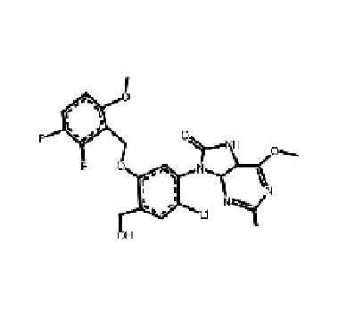 COC1=NC(C)=NC2C1NC(=O)N2c1cc(OCc2c(OC)ccc(F)c2F)c(CO)cc1Cl